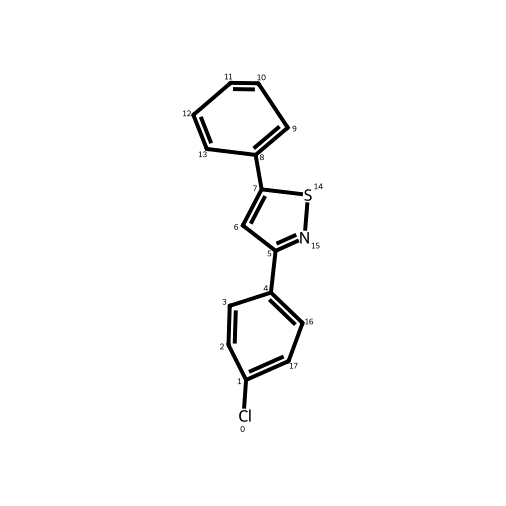 Clc1ccc(-c2cc(-c3ccccc3)sn2)cc1